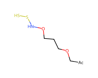 CC(=O)COCCCONSS